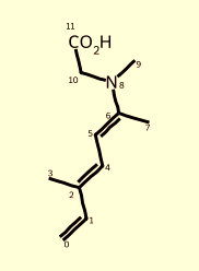 C=C/C(C)=C/C=C(\C)N(C)CC(=O)O